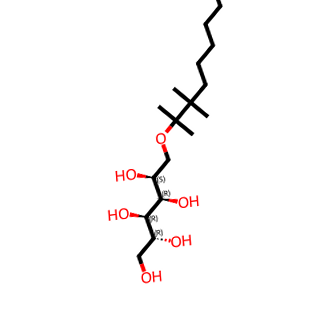 CCCCCCC(C)(C)C(C)(C)OC[C@H](O)[C@@H](O)[C@H](O)[C@H](O)CO